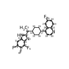 C[C@@H](c1nc2c(F)c(F)c(F)cc2[nH]1)C1CCC(c2ccnc3ccc(F)cc23)CC1